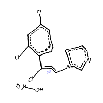 Cl/C(=C/n1ccnc1)c1ccc(Cl)cc1Cl.O=[N+]([O-])O